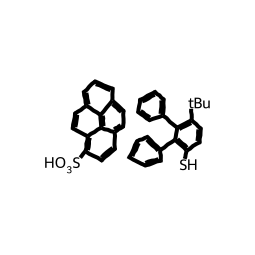 CC(C)(C)c1ccc(S)c(-c2ccccc2)c1-c1ccccc1.O=S(=O)(O)c1ccc2ccc3cccc4ccc1c2c34